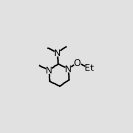 CCON1CCCN(C)C1N(C)C